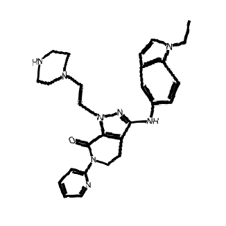 CCn1ccc2cc(Nc3nn(CCN4CCNCC4)c4c3CCN(c3ccccn3)C4=O)ccc21